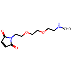 O=CNCCOCCOCCN1C(=O)C=CC1=O